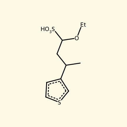 CCOC(CC(C)c1ccsc1)S(=O)(=O)O